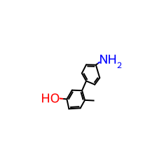 Cc1ccc(O)cc1-c1ccc(N)cc1